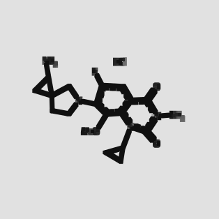 COc1c(N2CCC3(CC3N)C2)c(F)cc2c(=O)n(N)c(=O)n(C3CC3)c12.Cl